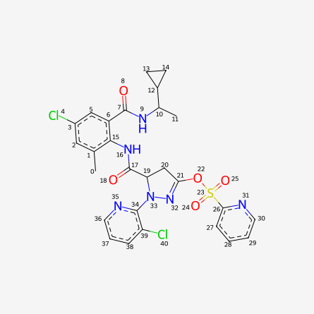 Cc1cc(Cl)cc(C(=O)NC(C)C2CC2)c1NC(=O)C1CC(OS(=O)(=O)c2ccccn2)=NN1c1ncccc1Cl